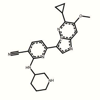 COc1cc2ncc(-c3ccc(C#N)c(NC4CCCNC4)n3)n2nc1C1CC1